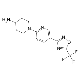 NC1CCN(c2ncc(-c3noc(C(F)(F)F)n3)cn2)CC1